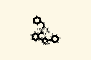 NC[C@@H](Cc1ccccc1)NC(=O)c1ccccc1-c1cc(-c2ccccc2)[nH]n1